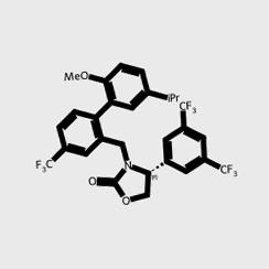 COc1ccc(C(C)C)cc1-c1ccc(C(F)(F)F)cc1CN1C(=O)OC[C@H]1c1cc(C(F)(F)F)cc(C(F)(F)F)c1